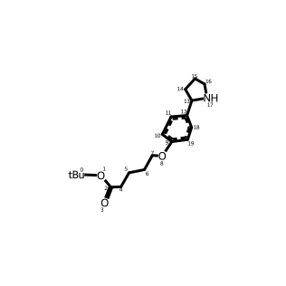 CC(C)(C)OC(=O)CCCCOc1ccc(C2CCCN2)cc1